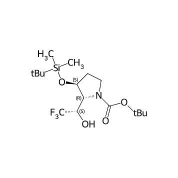 CC(C)(C)OC(=O)N1CC[C@H](O[Si](C)(C)C(C)(C)C)[C@H]1[C@H](O)C(F)(F)F